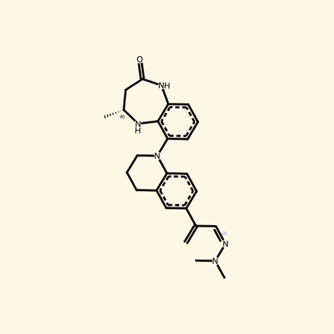 C=C(/C=N\N(C)C)c1ccc2c(c1)CCCN2c1cccc2c1N[C@H](C)CC(=O)N2